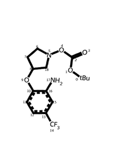 CC(C)(C)OC(=O)ON1CCC(Oc2ccc(C(F)(F)F)cc2N)C1